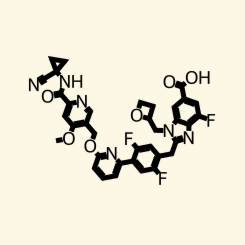 COc1cc(C(=O)NC2(C#N)CC2)ncc1COc1cccc(-c2cc(F)c(Cc3nc4c(F)cc(C(=O)O)cc4n3CC3CCO3)cc2F)n1